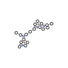 c1ccc(-c2ccc(N(c3ccc(-c4ccc(-c5ccc6c(c5)c5cccc7c5n6-c5ccccc5C75c6ccccc6-c6ccc(N(c7ccc(-c8ccccc8)cc7)c7ccccc7-c7ccccc7)cc65)cc4)cc3)c3ccc4c(c3)-c3ccccc3C43c4ccccc4-n4c5ccccc5c5cccc3c54)cc2)cc1